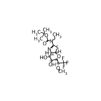 CCN(C(=O)OC(C)(C)C)C1=N[C@@H]2[C@@H](O)[C@H](O)[C@@H]([C@@H](OC)C(F)(F)F)O[C@@H]2S1